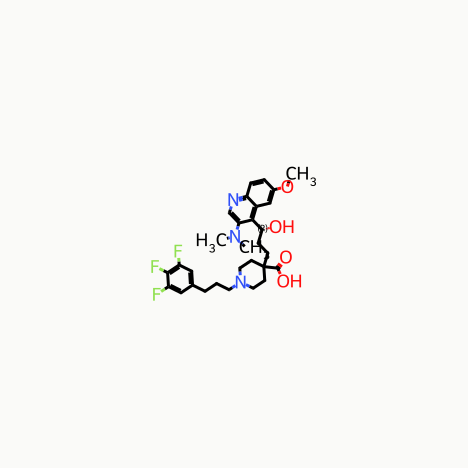 COc1ccc2ncc(N(C)C)c([C@H](O)CCC3(C(=O)O)CCN(CCCc4cc(F)c(F)c(F)c4)CC3)c2c1